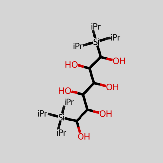 CC(C)[Si](C(C)C)(C(C)C)C(O)C(O)C(O)C(O)C(O)C(O)[Si](C(C)C)(C(C)C)C(C)C